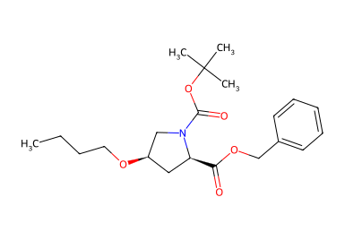 CCCCO[C@@H]1C[C@H](C(=O)OCc2ccccc2)N(C(=O)OC(C)(C)C)C1